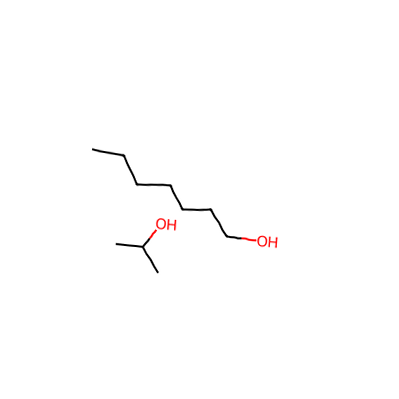 CC(C)O.CCCCCCCO